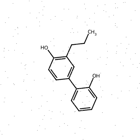 CCCc1cc(-c2ccccc2O)ccc1O